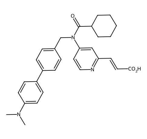 CN(C)c1ccc(-c2ccc(CN(C(=O)C3CCCCC3)c3ccnc(C=CC(=O)O)c3)cc2)cc1